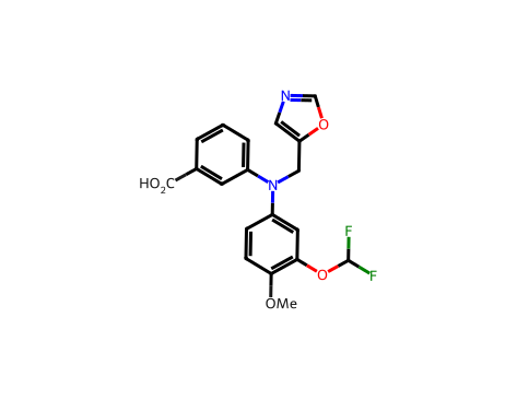 COc1ccc(N(Cc2cnco2)c2cccc(C(=O)O)c2)cc1OC(F)F